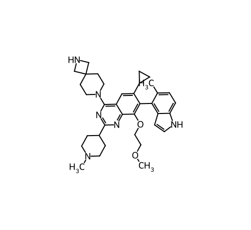 COCCOc1c(-c2c(C)ccc3[nH]ccc23)c(C2CC2)cc2c(N3CCC4(CC3)CNC4)nc(C3CCN(C)CC3)nc12